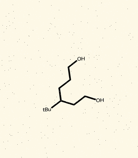 CC(C)(C)C(CCO)CCCO